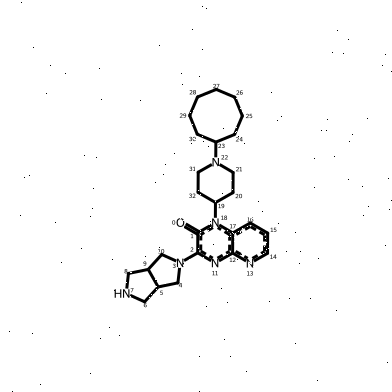 O=c1c(N2CC3CNCC3C2)nc2ncccc2n1C1CCN(C2CCCCCCC2)CC1